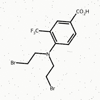 O=C(O)c1ccc(N(CCBr)CCBr)c(C(F)(F)F)c1